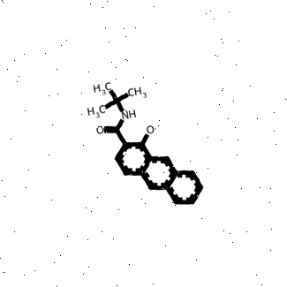 CC(C)(C)NC(=O)c1ccc2cc3ccccc3cc2c1[O]